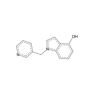 Oc1cccc2c1ccn2Cc1cccnc1